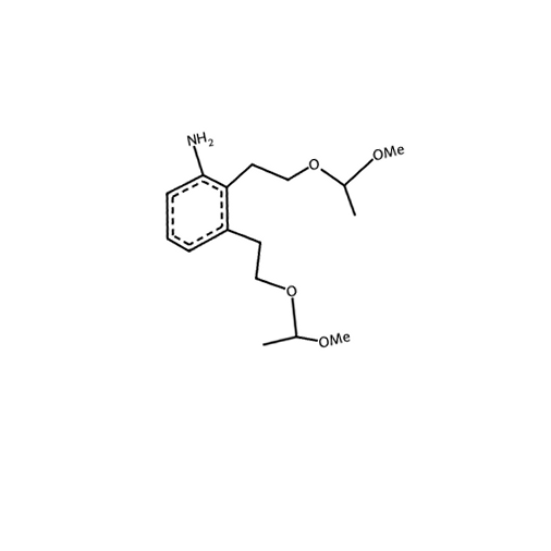 COC(C)OCCc1cccc(N)c1CCOC(C)OC